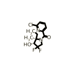 CC[C@]1(C)[C@@H](O)C(F)(F)CN1C(=O)c1cccc(Cl)n1